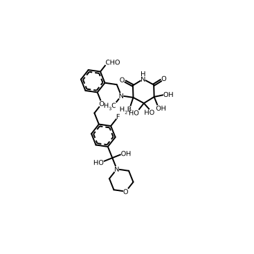 BC1(N(C)Cc2c(C=O)cccc2OCc2ccc(C(O)(O)N3CCOCC3)cc2F)C(=O)NC(=O)C(O)(O)C1(O)O